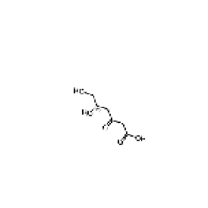 O=C(O)CC(=O)C[C@H](O)CO